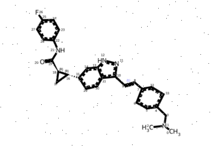 CN(C)Cc1ccc(/C=C/c2n[nH]c3cc([C@@H]4C[C@H]4C(=O)Nc4ccc(F)cc4)ccc23)cc1